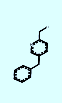 ClCc1ccc(Cc2ccccc2)cn1